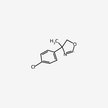 CC1(c2ccc(Cl)cc2)CO[C]=N1